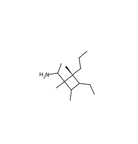 CCC[C@]1(C)C(CC)C(C)C1(C)C(C)N